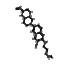 CC=CCOc1cc2ccc(C3CCC4CC(CCCC)CCC4C3)cc2cc1F